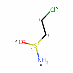 N[S+]([O-])CCCl